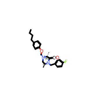 CCCCc1ccc(OCN2C[C@H](C)N(Cc3ccc(F)cc3)C(=C=O)[C@H]2C)cc1